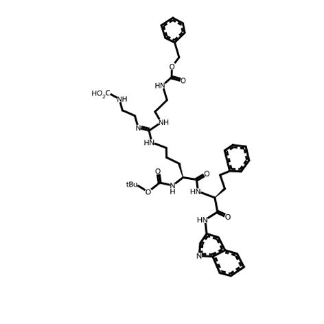 CC(C)(C)OC(=O)N[C@@H](CCCN/C(=N/CCNC(=O)O)NCCNC(=O)OCc1ccccc1)C(=O)N[C@@H](CCc1ccccc1)C(=O)Nc1cnc2ccccc2c1